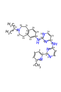 Cc1cccc(-c2nccc(Nc3ccnc(Nc4ccc5c(c4)CCN(C(C)C)CC5)n3)n2)n1